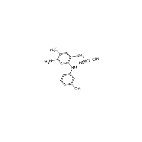 Cc1cc(N)c(Nc2cccc(O)c2)cc1N.Cl.Cl.Cl